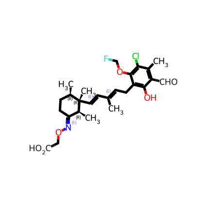 CC(/C=C/[C@@]1(C)[C@H](C)CC/C(=N\OCC(=O)O)[C@@H]1C)=C\Cc1c(O)c(C=O)c(C)c(Cl)c1OCF